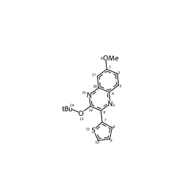 COc1ccc2nc(-c3cccs3)c(OC(C)(C)C)nc2c1